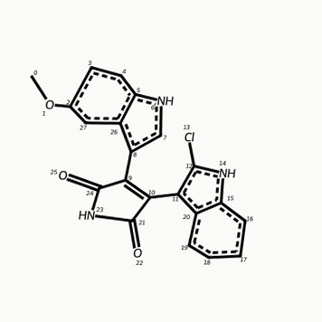 COc1ccc2[nH]cc(C3=C(c4c(Cl)[nH]c5ccccc45)C(=O)NC3=O)c2c1